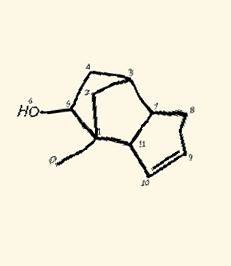 CC12CC(CC1O)C1CC=CC12